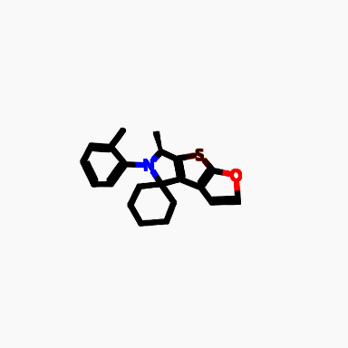 Cc1ccccc1N1[C@@H](C)c2sc3occc3c2C12CCCCC2